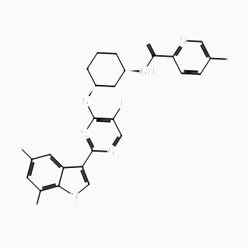 O=C(N[C@@H]1CCC[C@H](Nc2nc(-c3c[nH]c4c(F)cc(F)cc34)ncc2F)C1)c1ccc(F)cn1